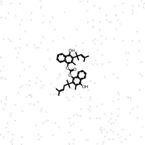 CC(C)=CCC(C)(C)c1c(C)c(O)c2ccccc2c1OC(=O)Oc1c(C)c(C(C)(C)C=C(C)C)c(O)c2ccccc12